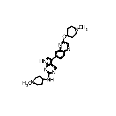 CN1CCC(Nc2ncc3c(-c4ccc5ncc(OC6CCN(C)CC6)nc5c4)c[nH]c3n2)CC1